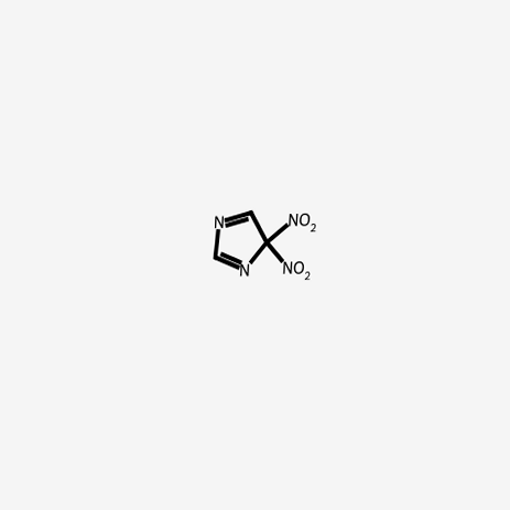 O=[N+]([O-])C1([N+](=O)[O-])C=NC=N1